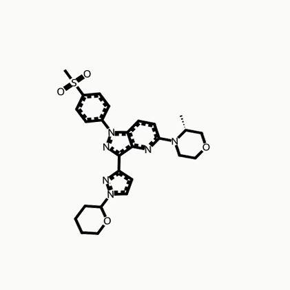 C[C@@H]1COCCN1c1ccc2c(n1)c(-c1ccn(C3CCCCO3)n1)nn2-c1ccc(S(C)(=O)=O)cc1